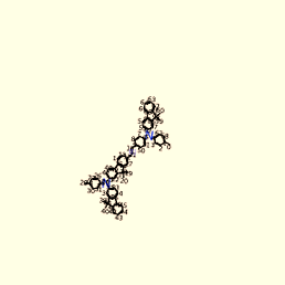 Cc1ccc(N(c2ccc(/C=C/c3ccc4c(c3)C(C)(C)c3cc(N(c5ccc(C)cc5)c5ccc6c(c5)C(C)(C)c5ccccc5-6)ccc3-4)cc2)c2ccc3c(c2)C(C)(C)c2ccccc2-3)cc1